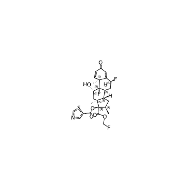 C[C@@H]1C[C@H]2[C@@H]3C[C@H](F)C4=CC(=O)C=C[C@]4(C)[C@@]3(F)[C@@H](O)C[C@]2(C)[C@@]1(OC(=O)c1cncs1)C(=O)OCF